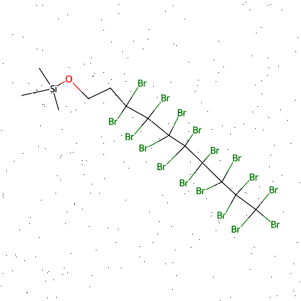 C[Si](C)(C)OCCC(Br)(Br)C(Br)(Br)C(Br)(Br)C(Br)(Br)C(Br)(Br)C(Br)(Br)C(Br)(Br)C(Br)(Br)Br